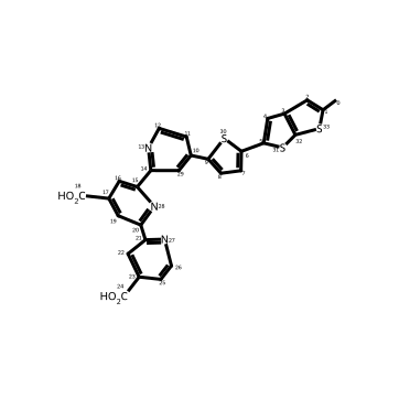 Cc1cc2cc(-c3ccc(-c4ccnc(-c5cc(C(=O)O)cc(-c6cc(C(=O)O)ccn6)n5)c4)s3)sc2s1